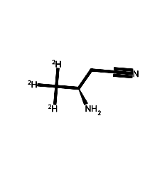 [2H]C([2H])([2H])[C@H](N)CC#N